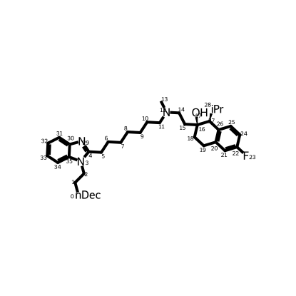 CCCCCCCCCCCCn1c(CCCCCCCN(C)CC[C@@]2(O)CCc3cc(F)ccc3[C@@H]2C(C)C)nc2ccccc21